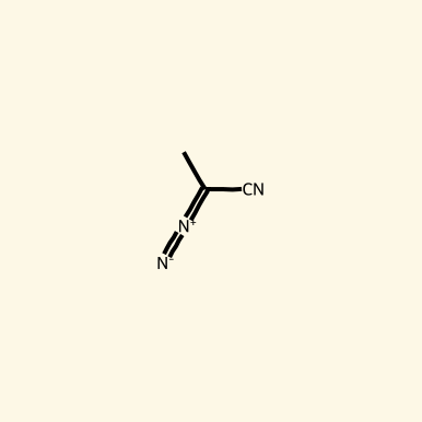 CC(C#N)=[N+]=[N-]